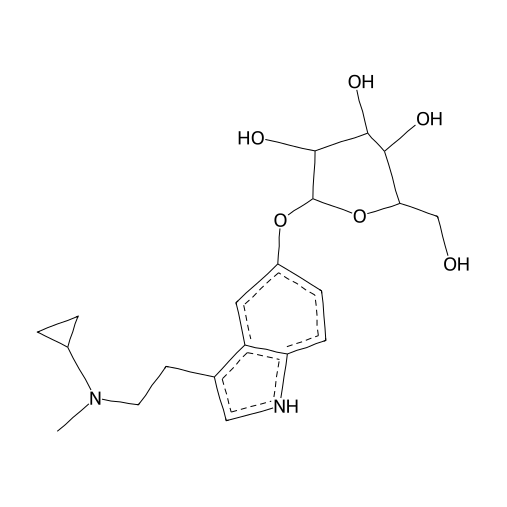 CN(CCc1c[nH]c2ccc(OC3OC(CO)C(O)C(O)C3O)cc12)C1CC1